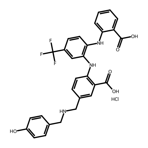 Cl.O=C(O)c1ccccc1Nc1ccc(C(F)(F)F)cc1Nc1ccc(CNCc2ccc(O)cc2)cc1C(=O)O